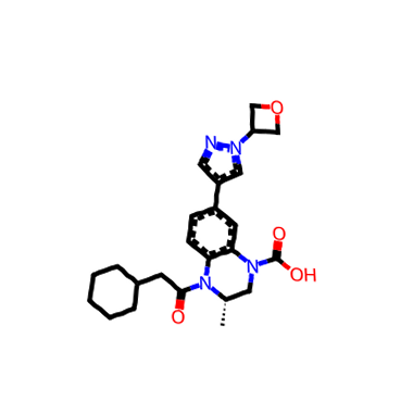 C[C@H]1CN(C(=O)O)c2cc(-c3cnn(C4COC4)c3)ccc2N1C(=O)CC1CCCCC1